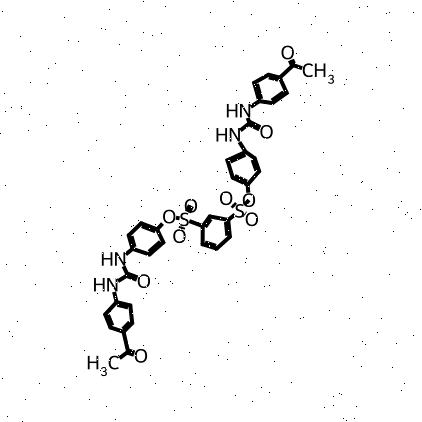 CC(=O)c1ccc(NC(=O)Nc2ccc(OS(=O)(=O)c3cccc(S(=O)(=O)Oc4ccc(NC(=O)Nc5ccc(C(C)=O)cc5)cc4)c3)cc2)cc1